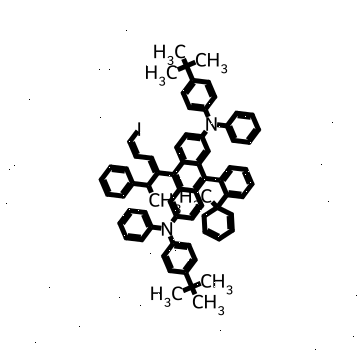 CC(/C(=C\C=C/I)c1c2cc(N(c3ccccc3)c3ccc(C(C)(C)C)cc3)ccc2c(-c2ccccc2C2(C)C=CC=CC2)c2cc(N(c3ccccc3)c3ccc(C(C)(C)C)cc3)ccc12)c1ccccc1